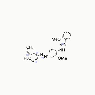 C\C=C/C=C(\C=C/C)/N=N/c1ccc(N/N=N/c2ccccc2OC)c(OC)c1